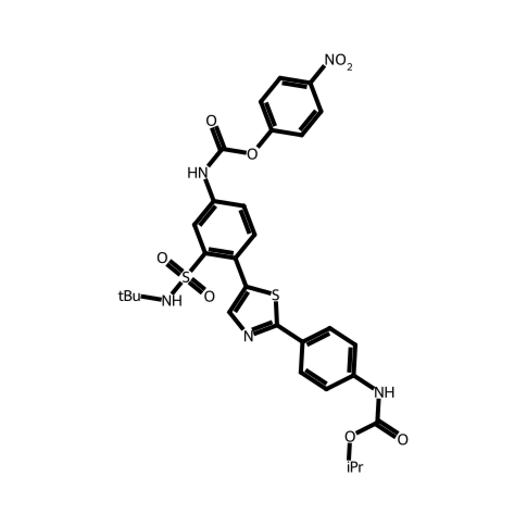 CC(C)OC(=O)Nc1ccc(-c2ncc(-c3ccc(NC(=O)Oc4ccc([N+](=O)[O-])cc4)cc3S(=O)(=O)NC(C)(C)C)s2)cc1